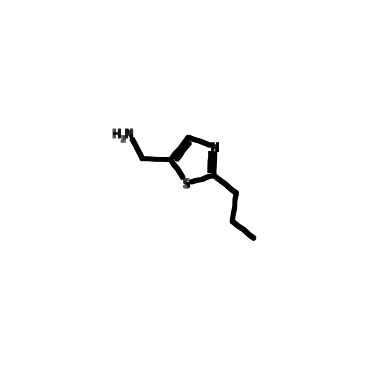 CCCc1ncc(CN)s1